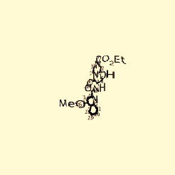 CCOC(=O)N1CCN(C(=O)C(CO)NC(=O)c2cc(OC)c3ccccc3n2)CC1